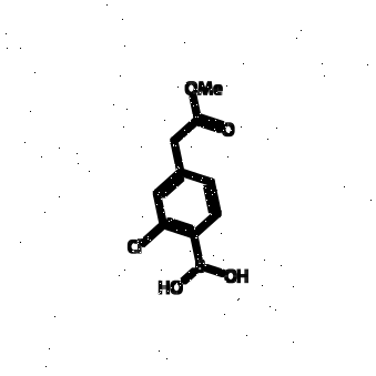 COC(=O)Cc1ccc(B(O)O)c(Cl)c1